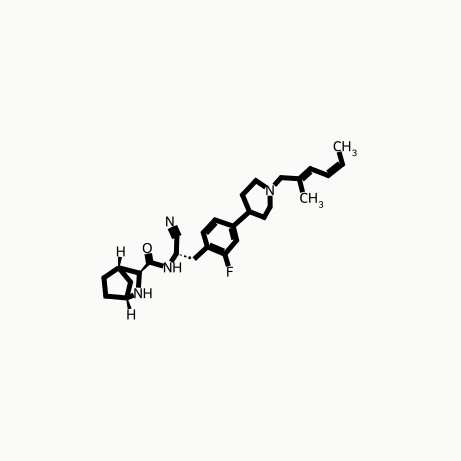 C/C=C\C=C(/C)CN1CCC(c2ccc(C[C@@H](C#N)NC(=O)[C@H]3N[C@@H]4CC[C@H]3C4)c(F)c2)CC1